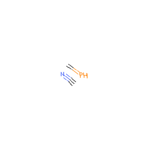 C#N.C=P